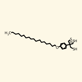 CCCCCCCCCCCCCCCCCCOc1ccc(C(CS)(CS)CS)cc1